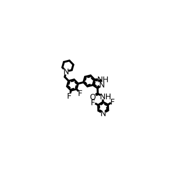 O=C(Nc1c(F)cncc1F)c1n[nH]c2ccc(-c3cc(CN4CCCCC4)cc(F)c3F)cc12